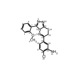 COc1ccccc1-c1nnc2n1N=C(c1ccc(Cl)c(N)c1)CS2